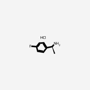 C[C@H](N)c1ccc(F)cc1.Cl